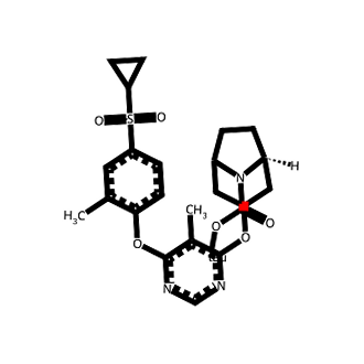 Cc1cc(S(=O)(=O)C2CC2)ccc1Oc1ncnc(OC2CC3CC[C@@H](C2)N3C(=O)OC(C)(C)C)c1C